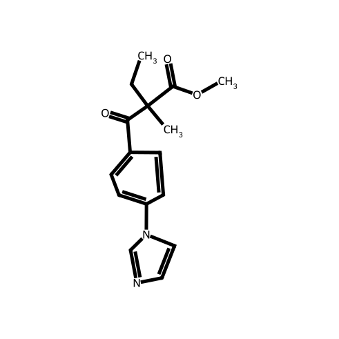 CCC(C)(C(=O)OC)C(=O)c1ccc(-n2ccnc2)cc1